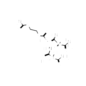 NC(=S)SCCSC(N)=S.[CH3][Zn]([CH3])([C](N)=S)[C](N)=S.[CH3][Zn]([CH3])([C](N)=S)[C](N)=S